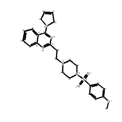 COc1ccc(S(=O)(=O)N2CCN(CCc3nc(N4CC=CC4)c4ccccc4n3)CC2)cc1